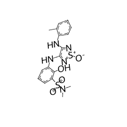 Cc1ccccc1Nc1n[s+]([O-])nc1Nc1cccc(S(=O)(=O)N(C)C)c1O